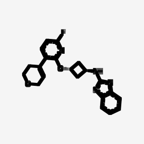 Fc1ccc(C2=CCOCC2)c(O[C@H]2C[C@H](Nc3nc4ccccc4s3)C2)n1